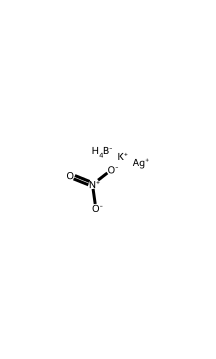 O=[N+]([O-])[O-].[Ag+].[BH4-].[K+]